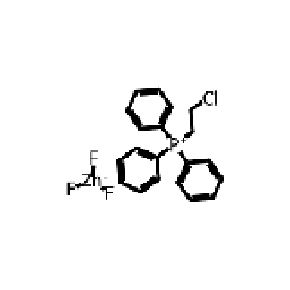 ClCC[P+](c1ccccc1)(c1ccccc1)c1ccccc1.[F][Zn-]([F])[F]